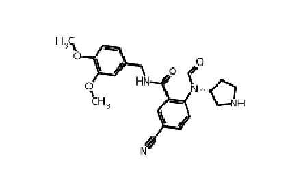 COc1ccc(CNC(=O)c2cc(C#N)ccc2N(C=O)[C@@H]2CCNC2)cc1OC